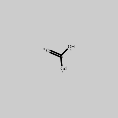 O=[C](O)[Gd]